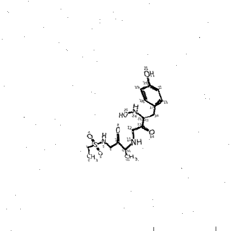 CCS(=O)(=O)NCC(=O)[C@H](C)NCC(=O)[C@H](Cc1ccc(O)cc1)NO